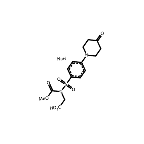 COC(=O)N(CC(=O)O)S(=O)(=O)c1ccc(N2CCC(=O)CC2)cc1.[NaH]